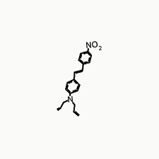 C=CCN(CC=C)c1ccc(/C=C/c2ccc([N+](=O)[O-])cc2)cc1